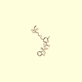 C=CS(=O)(=O)NCCOCc1cc(C)nc(C(=O)NNS(=O)(=O)c2ccccc2F)c1